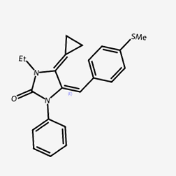 CCn1c(=C2CC2)/c(=C\c2ccc(SC)cc2)n(-c2ccccc2)c1=O